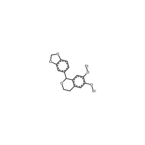 CCOc1cc2c(cc1OCC)C(c1ccc3c(c1)OCO3)OCC2